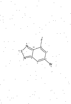 Fc1cc(Br)cc2nsnc12